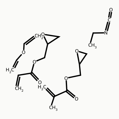 C=C(C)C(=O)OCC1CO1.C=CC(=O)OCC1CO1.C=COC=C.CCN=C=O